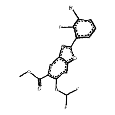 COC(=O)c1cc2nc(-c3cccc(Br)c3F)oc2cc1OC(F)F